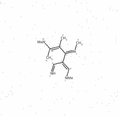 C/N=C(C(/C=N)=C/NC)\C(C)=C(/C)NC